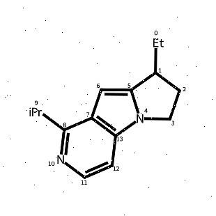 CCC1CCn2c1cc1c(C(C)C)nccc12